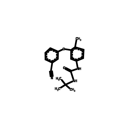 Cc1ccc(NC(=O)NC(C)(C)C)cc1Oc1cccc(C#N)c1